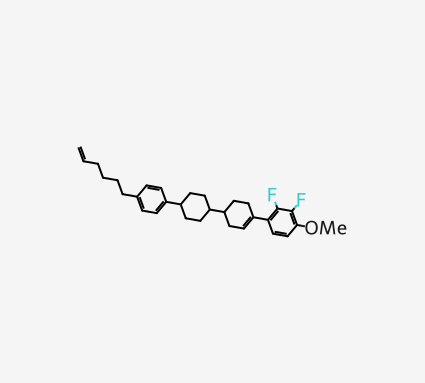 C=CCCCCc1ccc(C2CCC(C3CC=C(c4ccc(OC)c(F)c4F)CC3)CC2)cc1